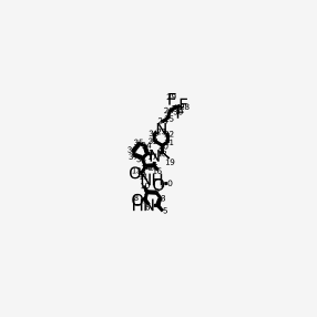 COc1cc(C)[nH]c(=O)c1CNC(=O)c1c(C)n([C@H](C)C2CCN(CCCC(F)(F)F)CC2)c2ccccc12